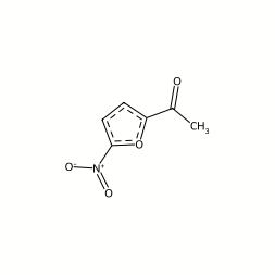 CC(=O)c1ccc([N+](=O)[O-])o1